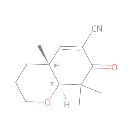 CC1(C)C(=O)C(C#N)=C[C@@]2(C)CCCO[C@H]12